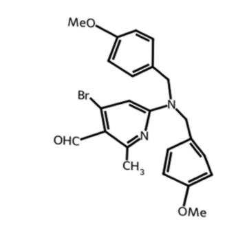 COc1ccc(CN(Cc2ccc(OC)cc2)c2cc(Br)c(C=O)c(C)n2)cc1